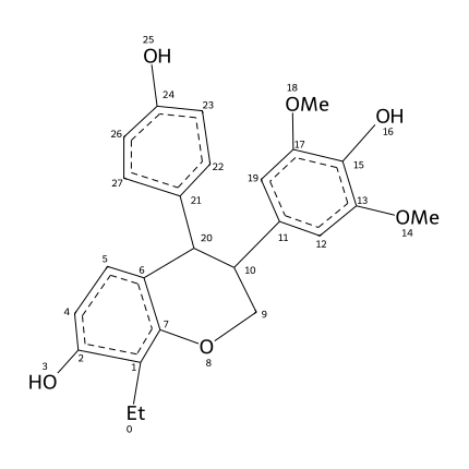 CCc1c(O)ccc2c1OCC(c1cc(OC)c(O)c(OC)c1)C2c1ccc(O)cc1